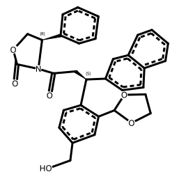 O=C(C[C@@H](c1ccc2ccccc2c1)c1ccc(CO)cc1C1OCCO1)N1C(=O)OC[C@H]1c1ccccc1